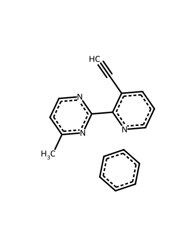 C#Cc1cccnc1-c1nccc(C)n1.c1ccccc1